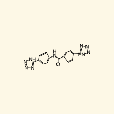 O=C(Nc1ccc(-c2nnn[nH]2)cc1)c1ccc(-c2nnn[nH]2)cc1